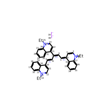 CCN1C=C\C(=C/C=C(\C=C\c2cc[n+](CC)c3ccccc23)c2cc[n+](CC)c3ccccc23)c2ccccc21.[I-].[I-]